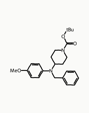 COc1ccc(N(Cc2ccccc2)C2CCN(C(=O)OC(C)(C)C)CC2)cc1